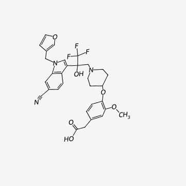 COc1cc(CC(=O)O)ccc1OC1CCN(CC(O)(c2cn(Cc3ccoc3)c3cc(C#N)ccc23)C(F)(F)F)CC1